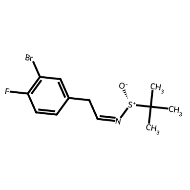 CC(C)(C)[S@@+]([O-])/N=C\Cc1ccc(F)c(Br)c1